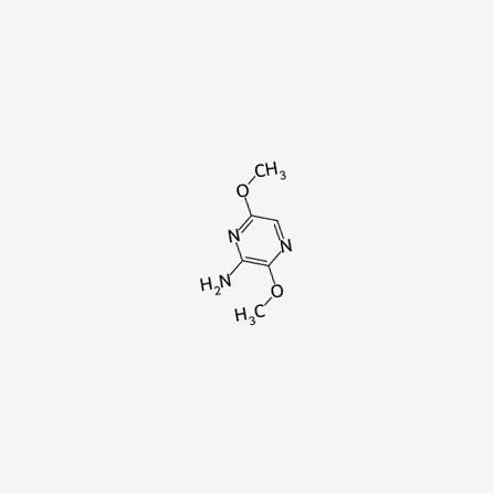 COc1cnc(OC)c(N)n1